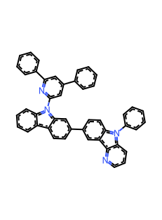 c1ccc(-c2cc(-c3ccccc3)nc(-n3c4ccccc4c4ccc(-c5ccc6c(c5)c5ncccc5n6-c5ccccc5)cc43)c2)cc1